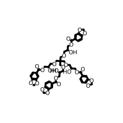 O=C(OCC(O)COCC(COCC(O)COC(=O)c1ccc2c(c1)OCO2)(COCC(O)COC(=O)c1ccc2c(c1)OCO2)COCC(O)COC(=O)c1ccc2c(c1)OCO2)c1ccc2c(c1)OCO2